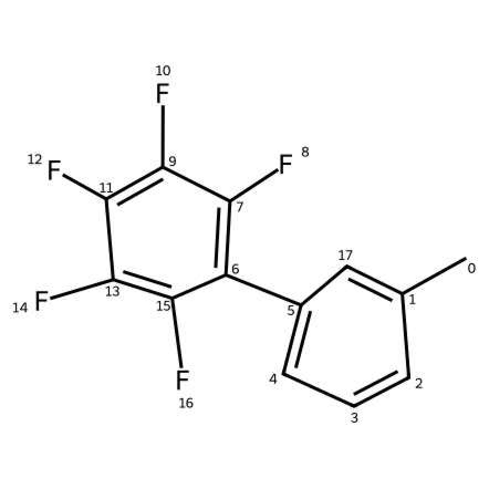 Cc1cccc(-c2c(F)c(F)c(F)c(F)c2F)c1